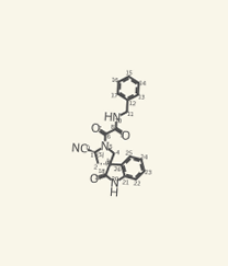 N#C[C@@H]1C[C@@]2(CN1C(=O)C(=O)NCc1ccccc1)C(=O)Nc1ccccc12